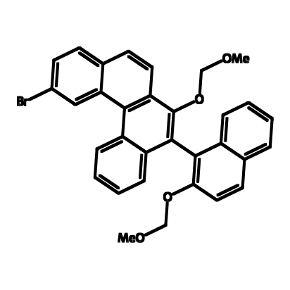 COCOc1ccc2ccccc2c1-c1c(OCOC)c2ccc3ccc(Br)cc3c2c2ccccc12